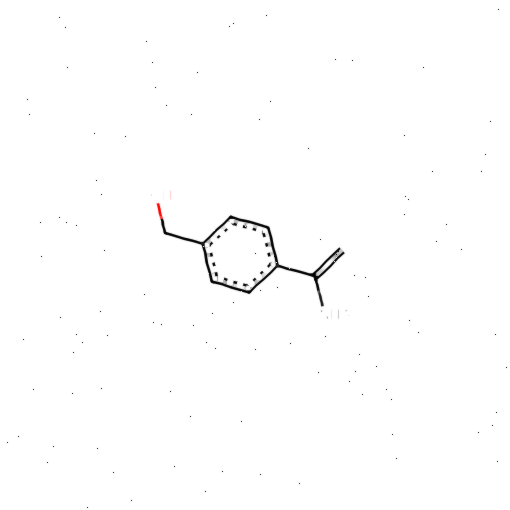 C=C(NC(C)=O)c1ccc(CO)cc1